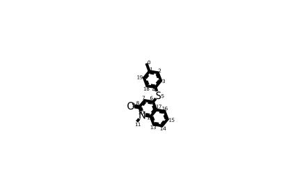 Cc1ccc(Sc2cc(=O)n(C)c3ccccc23)cc1